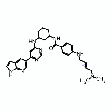 CN(C)C/C=C/CNc1ccc(C(=O)NC2CCCC(Nc3cc(-c4cnc5[nH]ccc5c4)ncn3)C2)cc1